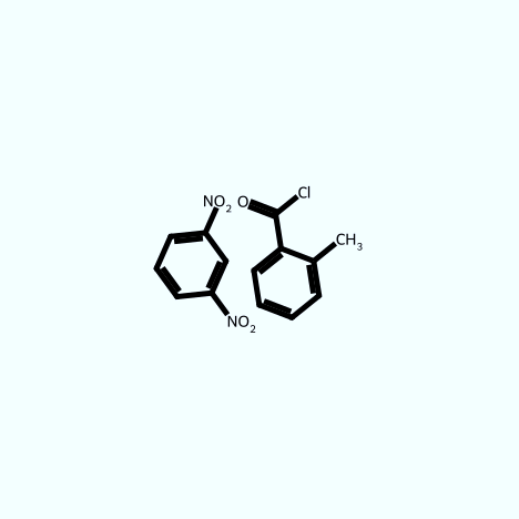 Cc1ccccc1C(=O)Cl.O=[N+]([O-])c1cccc([N+](=O)[O-])c1